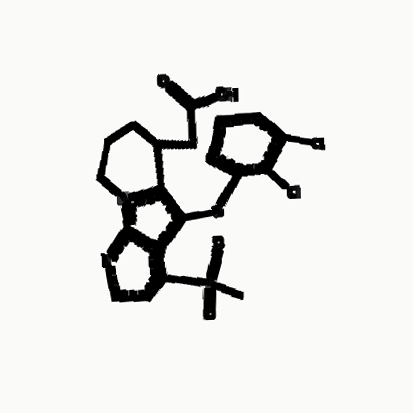 CS(=O)(=O)c1ccnc2c1c(Sc1cccc(Cl)c1Cl)c1n2CCCC1CC(=O)O